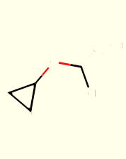 C[C@H](OC1CC1)C(=O)O